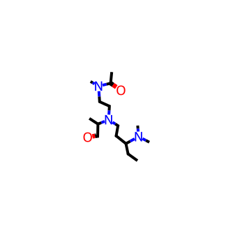 CCC(CCN(CCN(C)C(C)=O)C(C)C=O)N(C)C